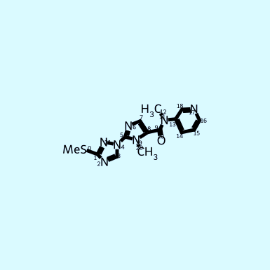 CSc1ncn(-c2ncc(C(=O)N(C)c3cccnc3)n2C)n1